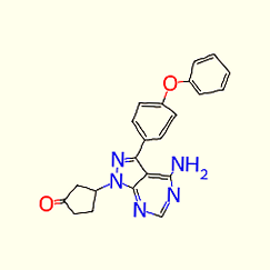 Nc1ncnc2c1c(-c1ccc(Oc3ccccc3)cc1)nn2C1CCC(=O)C1